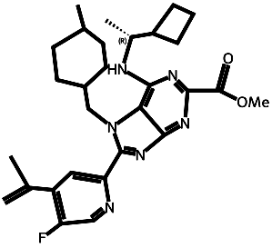 C=C(C)c1cc(-c2nc3nc(C(=O)OC)nc(N[C@H](C)C4CCC4)c3n2CC2CCC(C)CC2)ncc1F